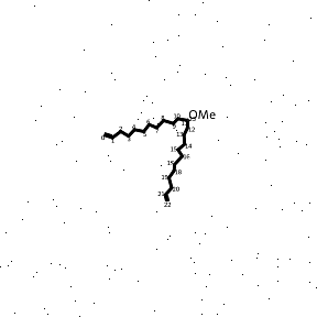 C=CCCCCCCCCCC(CCCCCCCCCC=C)OC